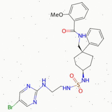 COc1ccccc1C(=O)NC[C@]1(c2ccccc2)CC[C@H](NS(=O)(=O)NCCNc2ncc(Br)cn2)CC1